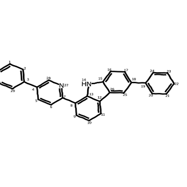 c1ccc(-c2ccc(-c3cccc4c3[nH]c3ccc(-c5ccccc5)cc34)nc2)cc1